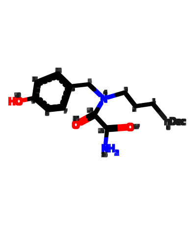 CCCCCCCCCCCCCN(Cc1ccc(O)cc1)C(=O)C(N)=O